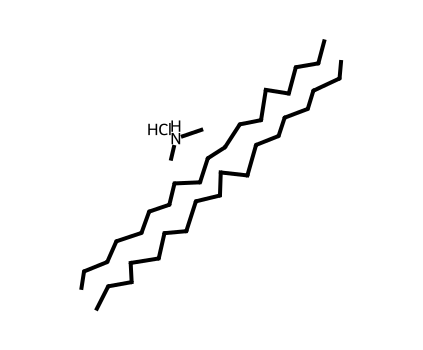 CCCCCCCCCCCCCCCCCC.CCCCCCCCCCCCCCCCCC.CNC.Cl